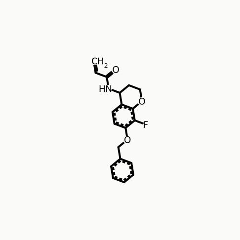 C=CC(=O)NC1CCOc2c1ccc(OCc1ccccc1)c2F